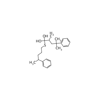 CC(CCCSC(O)(O)C(C)CC(C)(C)c1ccccc1)c1ccccc1